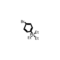 C[CH2][Pb]([CH2]C)([CH2]C)[c]1ccc(Br)cc1